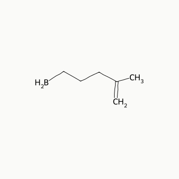 BCCCC(=C)C